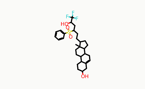 CC12CCC3C4CCC(O)CC4=CCC3C1CCC2CCC(CC(O)C(F)(F)F)S(=O)(=O)c1ccccc1